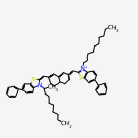 CCCCCCCCCC[n+]1c(/C=C2/C=C3C=C(/C=C4/Sc5cc(-c6ccccc6)ccc5N4C(C)CCCCCCCC)CCC3CC2)sc2cc(-c3ccccc3)ccc21